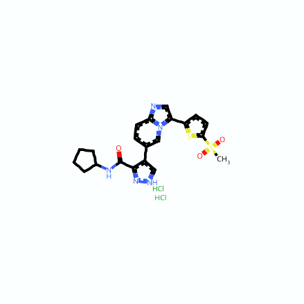 CS(=O)(=O)c1ccc(-c2cnc3ccc(-c4c[nH]nc4C(=O)NC4CCCC4)cn23)s1.Cl.Cl